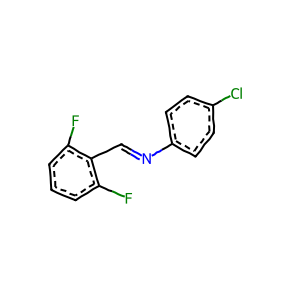 Fc1cccc(F)c1/C=N/c1ccc(Cl)cc1